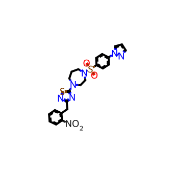 O=[N+]([O-])c1ccccc1Cc1nsc(N2CCCN(S(=O)(=O)c3ccc(-n4cccn4)cc3)CC2)n1